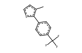 Cc1c[c]sc1-c1ccc(C(F)(F)F)cc1